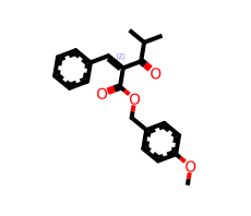 COc1ccc(COC(=O)/C(=C\c2ccccc2)C(=O)C(C)C)cc1